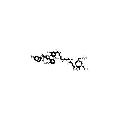 CCC1CC2CCC(NC(=O)c3cc(-c4c(OC)cccc4OC)n(-c4ccc(C(=O)N(C)CCCN(C)CCCN(C)C(=O)CCC(C(=O)O)N5CCN(CC(=O)O)CCN(CC(=O)O)CC5)cc4C(C)C)n3)(C(=O)O)C(C1)C2